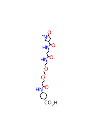 CN1CC(C(=O)NCCC(=O)NCCOCCOCCC(=O)NC2CCC(C(=O)O)CC2)CC1=O